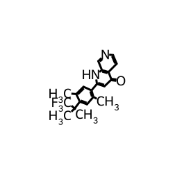 Cc1cc(C(C)(C)C(F)(F)F)c(C)cc1-c1cc(=O)c2ccncc2[nH]1